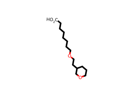 O=C(O)CCCCCCCOCCC1CCCOC1